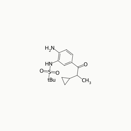 CC(C(=O)c1ccc(N)c(NS(=O)(=O)C(C)(C)C)c1)C1CC1